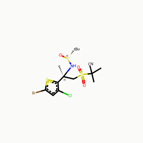 CC(C)(C)[S@@+]([O-])N[C@@](C)(CS(=O)(=O)C(C)(C)C#N)c1sc(Br)cc1Cl